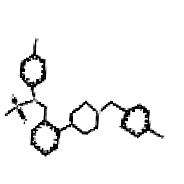 CS(=O)(=O)N(Cc1ccccc1C1CCN(Cc2ccc(F)cc2)CC1)c1ccc(Cl)cc1